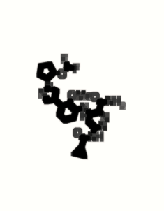 COc1c(Nc2cc(NC(=O)C3CC3)nnc2C(N)=O)cccc1-c1cnn([C@H]2CCC[C@H]2OC(F)F)c1